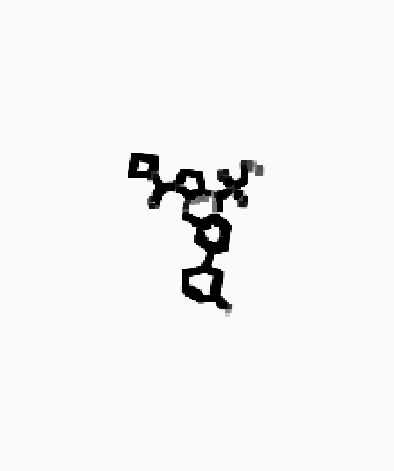 CCS(=O)(=O)N[C@H]1CCN(C(=O)N2CCC2)[C@H]1Cc1cccc(C2C=C(F)C=CC2)c1